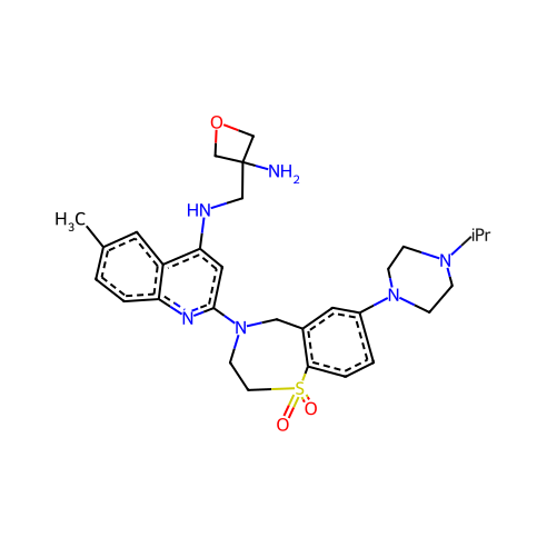 Cc1ccc2nc(N3CCS(=O)(=O)c4ccc(N5CCN(C(C)C)CC5)cc4C3)cc(NCC3(N)COC3)c2c1